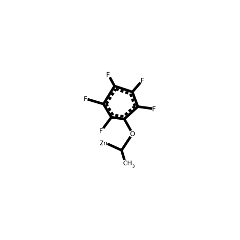 C[CH]([Zn])Oc1c(F)c(F)c(F)c(F)c1F